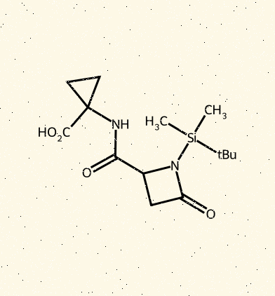 CC(C)(C)[Si](C)(C)N1C(=O)CC1C(=O)NC1(C(=O)O)CC1